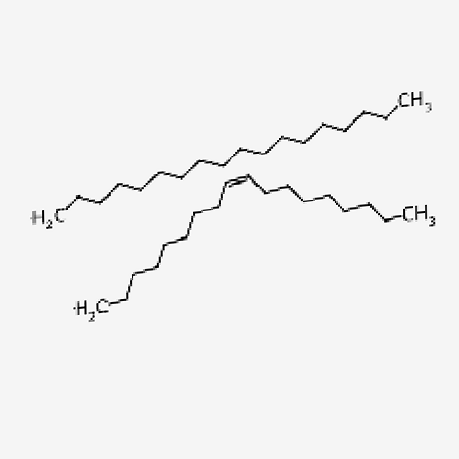 [CH2]CCCCCCC/C=C\CCCCCCCC.[CH2]CCCCCCCCCCCCCCCCC